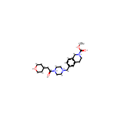 CC(C)(C)OC(=O)N1CCc2cc(CN3CCN(C(=O)CC4CCOCC4)CC3)ccc2C1